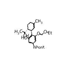 C=C(C)[C@@H]1CCC(C)=C[C@H]1c1c(O)cc(CCCCC)cc1OCOCC